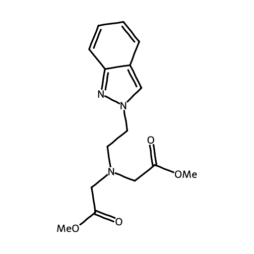 COC(=O)CN(CCn1cc2ccccc2n1)CC(=O)OC